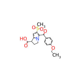 CCOc1ccc(C(=O)c2c(S(C)(=O)=O)cc3n2CCC3C(=O)O)cc1